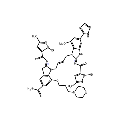 CCn1nc(C)cc1C(=O)/N=C1\Cc2cc(C(N)=O)cc(OCCCN3CCOCC3)c2N1C/C=C/Cn1/c(=N/C(=O)c2cc(C)nn2CC)[nH]c2cc(-c3ncn[nH]3)cc(OC)c21